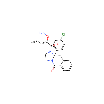 C=C/C=C(\ON)C(=O)N1CCN2C(=O)c3ccccc3CC12c1ccc(Cl)cc1